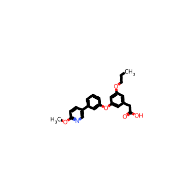 CCCOc1cc(CC(=O)O)cc(Oc2cccc(-c3ccc(OC)nc3)c2)c1